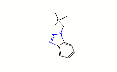 C[Si](C)(C)Cn1nnc2ccccc21